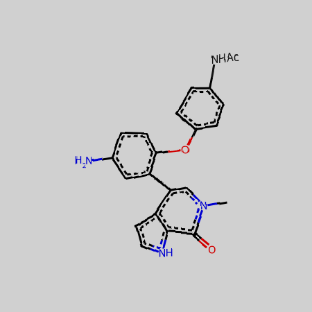 CC(=O)Nc1ccc(Oc2ccc(N)cc2-c2cn(C)c(=O)c3[nH]ccc23)cc1